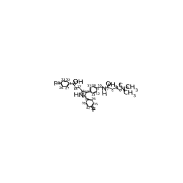 C[N+](C)(C)CCCC(=O)NCc1ccc(C2C(CCC(O)c3ccc(F)cc3)NC2c2ccc(F)cc2)cc1